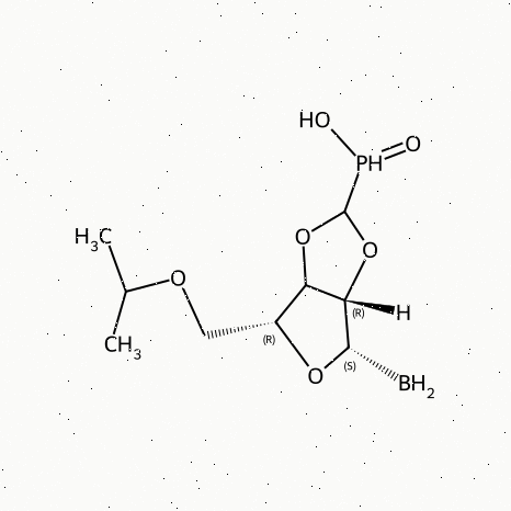 B[C@@H]1O[C@H](COC(C)C)C2OC([PH](=O)O)O[C@@H]21